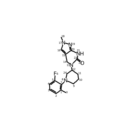 Cc1cccc(F)c1N1CCCC(N2Cc3cn(C)nc3NC2=O)C1